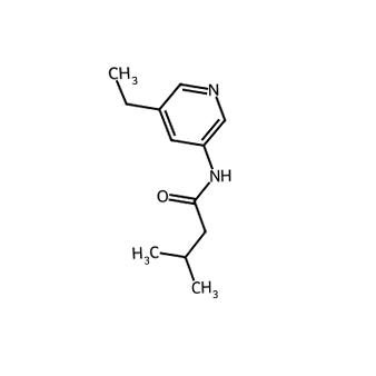 CCc1cncc(NC(=O)CC(C)C)c1